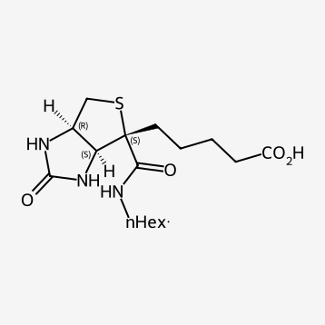 [CH2]CCCC[CH]NC(=O)[C@@]1(CCCCC(=O)O)SC[C@@H]2NC(=O)N[C@@H]21